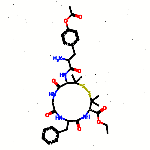 CCOC(=O)C1NC(=O)C(Cc2ccccc2)NC(=O)CNC(=O)C(NC(=O)C(N)Cc2ccc(OC(C)=O)cc2)C(C)(C)SSC1(C)C